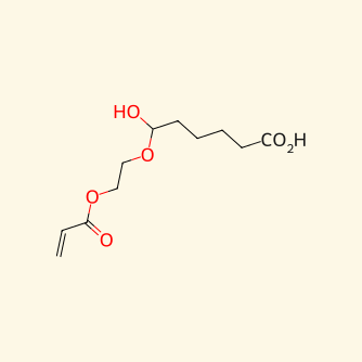 C=CC(=O)OCCOC(O)CCCCC(=O)O